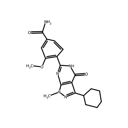 COc1cc(C(N)=O)ccc1-c1nc2c(c(C3CCCCC3)nn2C)c(=O)[nH]1